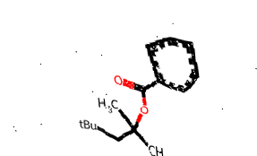 CC(C)(C)CC(C)(C)OC(=O)c1ccccc1